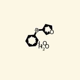 O.O.[B](c1ccccc1)c1ccoc1